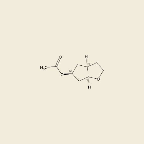 CC(=O)O[C@H]1C[C@H]2CCO[C@H]2C1